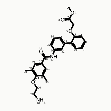 COC(=O)COc1ccccc1-c1cccc(NC(=O)c2cc(C)c(OCCN)c(C)c2)c1